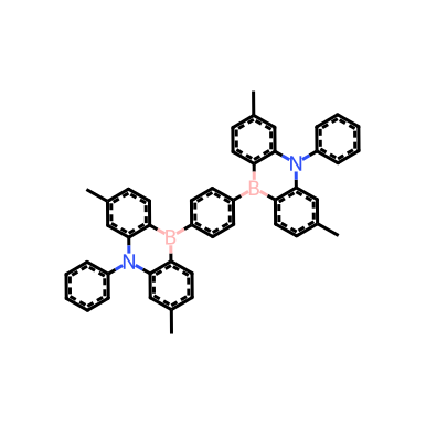 Cc1ccc2c(c1)N(c1ccccc1)c1cc(C)ccc1B2c1ccc(B2c3ccc(C)cc3N(c3ccccc3)c3cc(C)ccc32)cc1